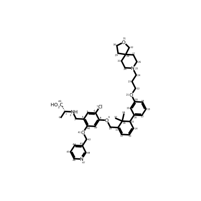 C[C@@H](NCc1cc(Cl)c(OCC2=CC=CC(c3cccc(OCCCN4CCC5(CCOC5)CC4)c3)C2(C)C)cc1OCc1cccnc1)C(=O)O